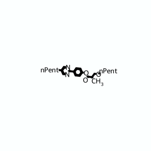 CCCCCOCC(C)C(=O)Oc1ccc(-c2ncc(CCCCC)cn2)cc1